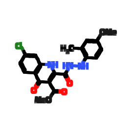 COC(=O)c1c(C(=O)NNc2ccc(OC)cc2C)[nH]c2cc(Cl)ccc2c1=O